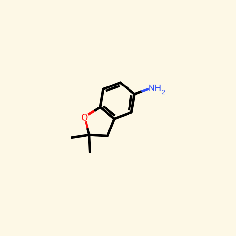 CC1(C)Cc2cc(N)ccc2O1